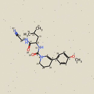 COc1ccc(C2=CN(C(=O)NC(CC(C)C)C(=O)NCC#N)CCC2)cc1